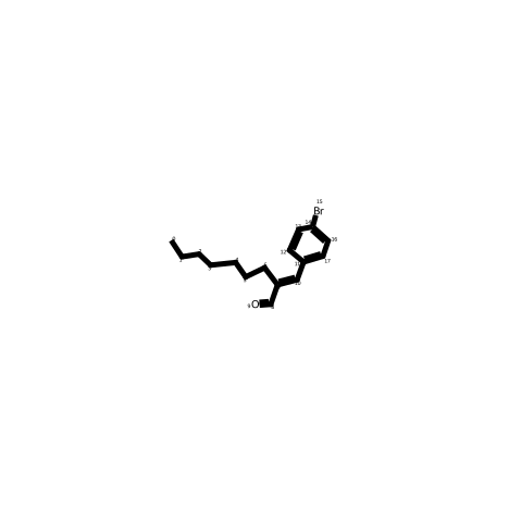 CCCCCCC/C(C=O)=C\c1ccc(Br)cc1